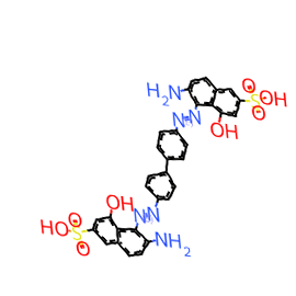 Nc1ccc2cc(S(=O)(=O)O)cc(O)c2c1/N=N/c1ccc(-c2ccc(/N=N/c3c(N)ccc4cc(S(=O)(=O)O)cc(O)c34)cc2)cc1